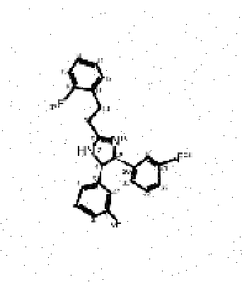 Fc1cccc([C@H]2NC(CCc3ccccc3F)=N[C@H]2c2cccc(F)c2)c1